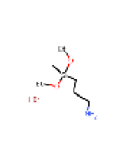 Br.CCO[Si](C)(CCCN)OCC